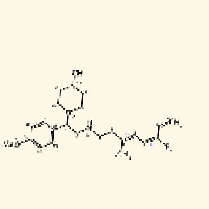 C=C/C(F)=C\C=C(/C)CCNCC(c1ccc(OC)cc1)N1CCN(C)CC1